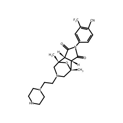 C[C@]12CN(CCN3CCNCC3)C[C@](C)(O1)[C@H]1C(=O)N(c3ccc(C#N)c(C(F)(F)F)c3)C(=O)[C@H]12